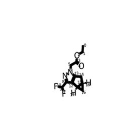 CCOC(=O)Cn1nc(C(F)F)c2c1C[C@@H]1C[C@H]21